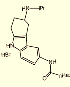 Br.CCCCCCC(=O)Nc1ccc2[nH]c3c(c2c1)CC(NC(C)C)CC3